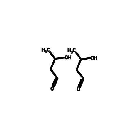 CC(O)CC=O.CC(O)CC=O